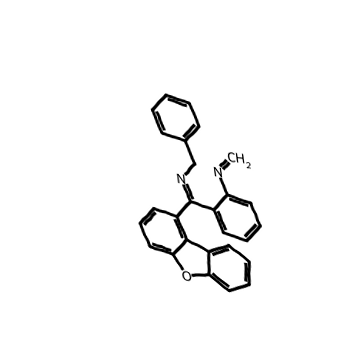 C=Nc1ccccc1/C(=N\Cc1ccccc1)c1cccc2oc3ccccc3c12